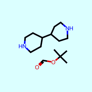 C1CC(C2CCNCC2)CCN1.CC(C)(C)OC=O